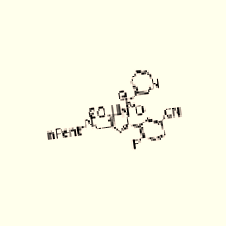 CCCCCN(Cc1cc(-c2cc(C#N)ccc2F)n(S(=O)(=O)c2cccnc2)c1)C(=O)O